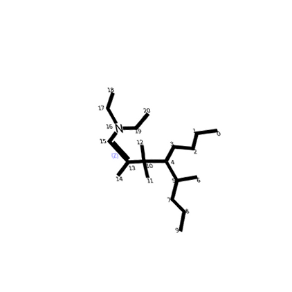 CCCCC(C(C)CCC)C(C)(C)/C(C)=C\N(CC)CC